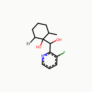 CCC1CCCC(C)C1(O)C(O)c1ncccc1F